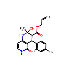 C=CCOC(=O)C1C(c2ccc(C#N)cc2OC)c2c(cc[nH]c2=O)NC1(O)C(F)(F)F